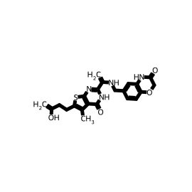 C=C(O)CCc1sc2nc(C(=C)NCc3ccc4c(c3)NC(=O)CO4)[nH]c(=O)c2c1C